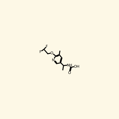 Cc1cc(C(C)NC(=O)O)cnc1OCC(F)F